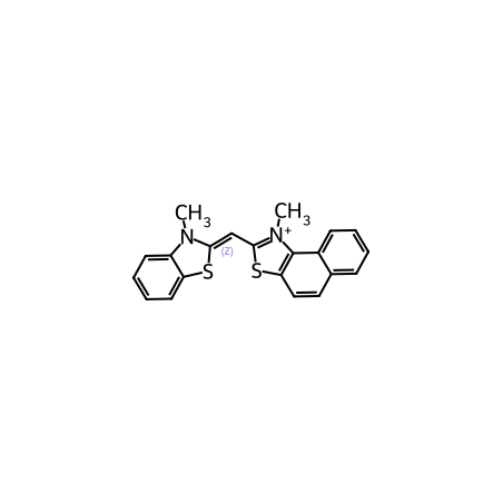 CN1/C(=C/c2sc3ccc4ccccc4c3[n+]2C)Sc2ccccc21